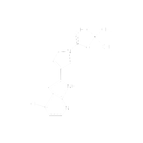 CC(C)(C)OC(=O)N1CC=C(c2cc3c(Cl)ccnc3[nH]2)C1